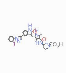 Cc1[nH]c(C=C2C(=O)Nc3ccc(-c4cnn(-c5ccccc5I)c4)cc32)c(C)c1C(=O)NC1CCCN(C(=O)O)C1